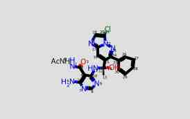 CC(=O)NNC(=O)c1c(N)ncnc1N[C@@](C)(O)c1cc2ncc(Cl)n2nc1-c1ccccc1